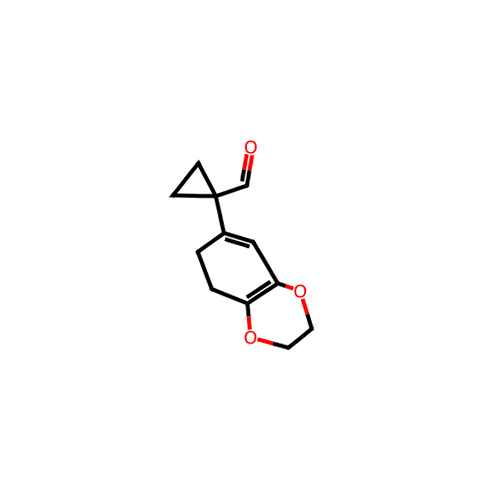 O=CC1(C2=CC3=C(CC2)OCCO3)CC1